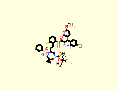 COc1ccc([C@H](c2ccc(Cl)cc2)[C@H](N)C(=O)Nc2cccc(F)c2CCC2CN(C(=O)OC(C)(C)C)CC3(CC3)CN2S(=O)(=O)c2ccccc2)cn1